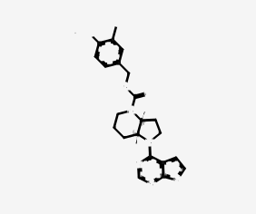 Cc1cc(CNC(=O)N2CCC[C@@H]3[C@H]2CCN3c2ncnc3[nH]ccc23)ccc1C(=O)O